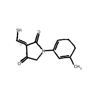 CC1=CC(N2CC(=O)/C(=C/S)C2=O)=CCC1